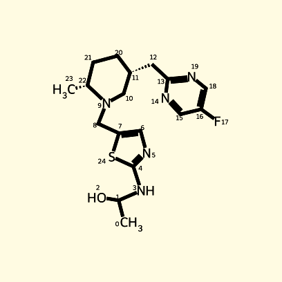 CC(O)Nc1ncc(CN2C[C@@H](Cc3ncc(F)cn3)CC[C@H]2C)s1